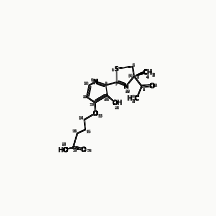 CC(=O)[C@@]1(C)CSC(c2nccc(OCCCC(=O)O)c2O)=N1